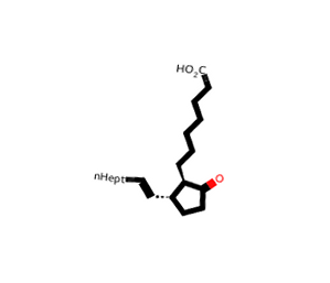 CCCCCCCC=C[C@H]1CCC(=O)[C@@H]1CCCCCCC(=O)O